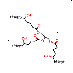 CCCCCCCC(O)CCCC(=O)OCC(COC(=O)CCCC(O)CCCCCCC)OC(=O)CCCC(O)CCCCCCC